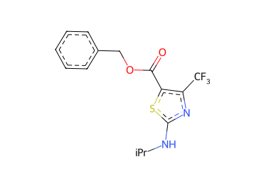 CC(C)Nc1nc(C(F)(F)F)c(C(=O)OCc2ccccc2)s1